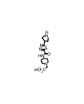 O=C(O)CN1CCC(NC(=O)c2nnc(C3CCNCC3)s2)CC1